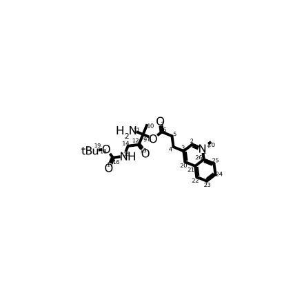 C[n+]1cc(CCC(=O)OC(C)(N)C(=O)CNC(=O)OC(C)(C)C)cc2ccccc21